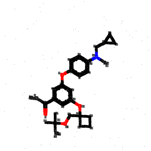 COC(=O)c1cc(Oc2ccc(N(CC3CC3)C(C)=O)cc2)cc(OC2(CO[Si](C)(C)C(C)(C)C)CCC2)c1